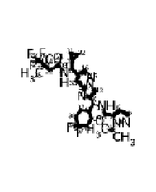 CC(C)n1nccc1C(=O)N[C@H](c1cn2ncc([C@H](NC(=O)CC(C)(C)C(F)(F)F)C3CC3)cc2n1)C1CCC(F)(F)CC1